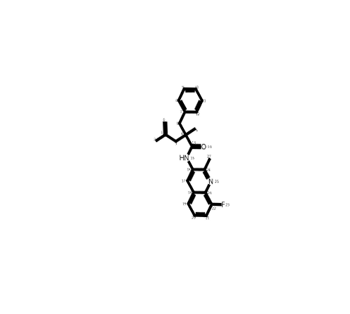 C=C(C)CC(C)(Cc1ccccc1)C(=O)Nc1cc2cccc(F)c2nc1C